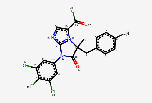 CC1(Cc2ccc(C#N)cc2)C(=O)N(c2cc(Cl)c(F)c(Cl)c2)c2ncc(C(=O)Cl)n21